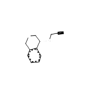 C#CCN[C@H]1COCc2ccccc21